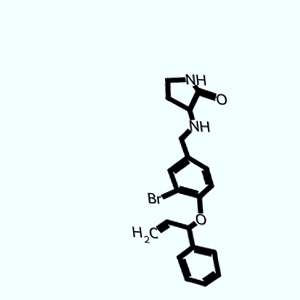 C=CC(Oc1ccc(CNC2CCNC2=O)cc1Br)c1ccccc1